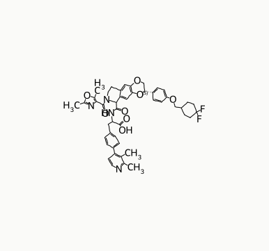 Cc1nc(C(=O)N2CCc3cc4c(cc3C2C(=O)NC(Cc2ccc(-c3ccnc(C)c3C)cc2)C(=O)O)O[C@@H](c2ccc(OCC3CCC(F)(F)CC3)cc2)CO4)c(C)o1